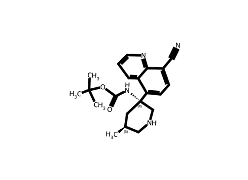 C[C@@H]1CNC[C@](NC(=O)OC(C)(C)C)(c2ccc(C#N)c3ncccc23)C1